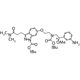 CO[C@@H](CN(CCOc1ccc2c(CCC(=O)N(C)C)nn(C(=O)OC(C)(C)C)c2c1)C(=O)OC(C)(C)C)c1cccc(N)c1